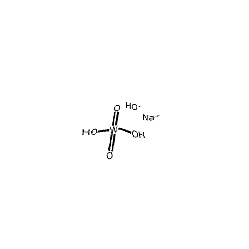 [Na+].[OH-].[O]=[W](=[O])([OH])[OH]